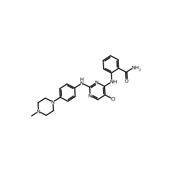 CN1CCN(c2ccc(Nc3ncc(Cl)c(Nc4ccccc4C(N)=O)n3)cc2)CC1